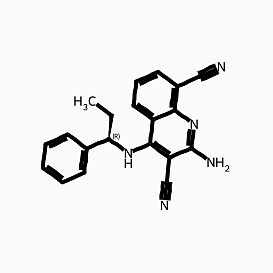 CC[C@@H](Nc1c(C#N)c(N)nc2c(C#N)cccc12)c1ccccc1